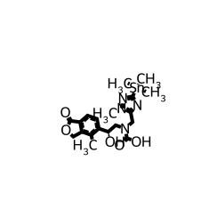 Cc1c([C@@H](O)CN(Cc2n[c]([Sn]([CH3])([CH3])[CH3])nn2C)C(=O)O)ccc2c1COC2=O